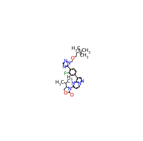 CC(C)C1COC(=O)N1c1ccn2ncc(-c3ccc(-c4ncnn4COCC[Si](C)(C)C)c(F)c3)c2n1